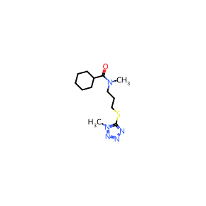 CN(CCCSc1nnnn1C)C(=O)C1CCCCC1